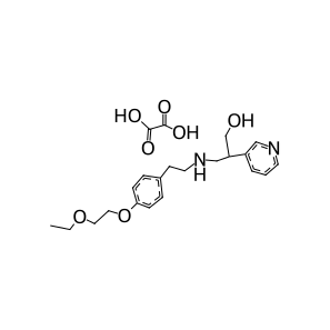 CCOCCOc1ccc(CCNCC(CO)c2cccnc2)cc1.O=C(O)C(=O)O